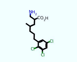 CC(CCCc1cc(Cl)cc(Cl)c1Cl)CC(CN)C(=O)O